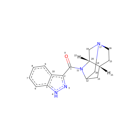 O=C(c1n[nH]c2ccccc12)N1C2C[C@H]3CC[N@@](C2)C[C@H]31